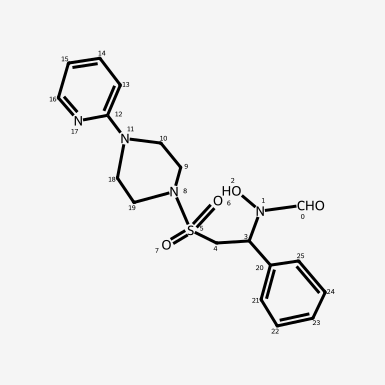 O=CN(O)C(CS(=O)(=O)N1CCN(c2ccccn2)CC1)c1ccccc1